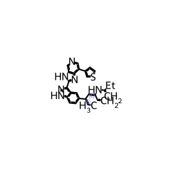 C=C/C(=C\C(=C/C)c1ccc2[nH]nc(-c3nc4c(-c5ccsc5)cncc4[nH]3)c2c1)NC(=C)CC